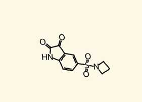 O=C1Nc2ccc(S(=O)(=O)N3CCC3)cc2C1=O